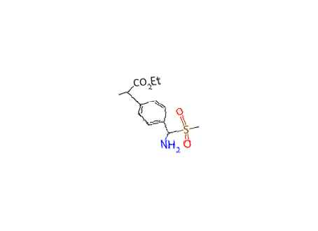 CCOC(=O)C(C)c1ccc(C(N)S(C)(=O)=O)cc1